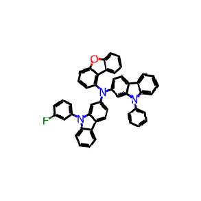 Fc1cccc(-n2c3ccccc3c3ccc(N(c4ccc5c6ccccc6n(-c6ccccc6)c5c4)c4cccc5oc6ccccc6c45)cc32)c1